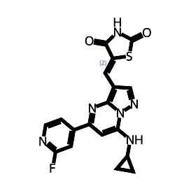 O=C1NC(=O)/C(=C/c2cnn3c(NC4CC4)cc(-c4ccnc(F)c4)nc23)S1